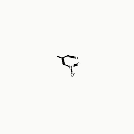 CC(C=O)=C[N+](=O)[O-]